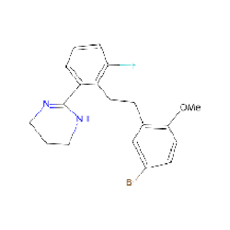 COc1ccc(Br)cc1CCc1c(F)cccc1C1=NCCCN1